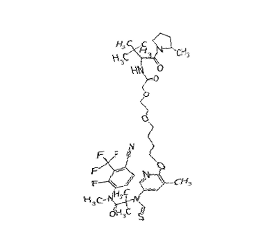 Cc1cc(N(C=S)C(C)(C)C(=O)N(C)c2ccc(C#N)c(C(F)(F)F)c2F)cnc1OCCCCOCCOCC(=O)NC(C(=O)N1CCCC1C)C(C)(C)C